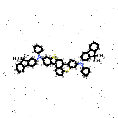 CC1(C)c2ccccc2-c2ccc(N(c3ccccc3)c3ccc4c(c3)Sc3cccc5c3c-4cc3sc4cc(N(c6ccccc6)c6ccc7c(c6)C(C)(C)c6ccccc6-7)ccc4c35)cc21